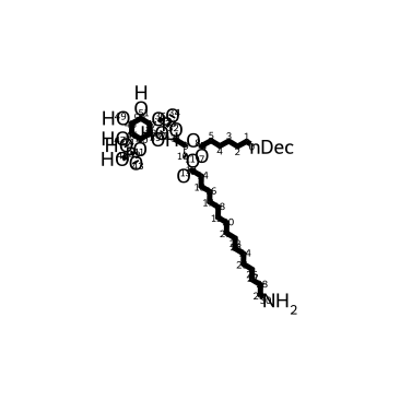 CCCCCCCCCCCCCCCC(=O)O[C@H](COC(=O)CCCCCCCCCCCCCCCCN)COP(=O)(O)OC1C(O)[C@@H](OP(=O)(O)O)C(O)[C@@H](O)[C@H]1O